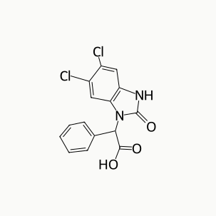 O=C(O)C(c1ccccc1)n1c(=O)[nH]c2cc(Cl)c(Cl)cc21